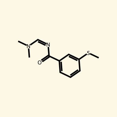 CSc1cccc(C(=O)/N=C\N(C)C)c1